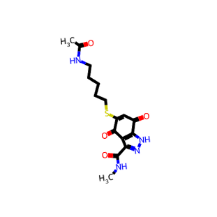 CNC(=O)c1n[nH]c2c1C(=O)C(SCCCCCNC(C)=O)=CC2=O